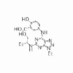 CCC(CO)Nc1nc(Nc2ccc(O)c(C(=O)O)c2)c2nnn(CC)c2n1